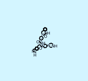 O=C(NC(Cc1ccc2[nH]ncc2c1)C(=O)N1CCC(N2CCCNCC2)CC1)N1CCC(N2CCc3ccccc3NC2=O)CC1